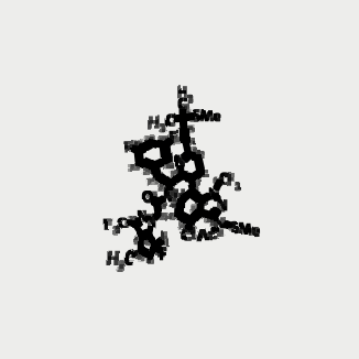 CSN(C(C)=O)c1nn(CC(F)(F)F)c2c(-c3ccc(C#CC(C)(C)SC)nc3C(Cc3cc(F)cc(F)c3)NC(=O)Cn3nc(C(F)(F)F)c4c3C(F)(F)C[C@@H]4C)ccc(Cl)c12